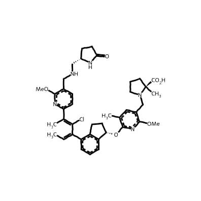 C/C=C(\C(Cl)=C(/C)c1ccc(CNC[C@@H]2CCC(=O)N2)c(OC)n1)c1cccc2c1CC[C@@H]2Oc1nc(OC)c(CN2CCC[C@@]2(C)C(=O)O)cc1C